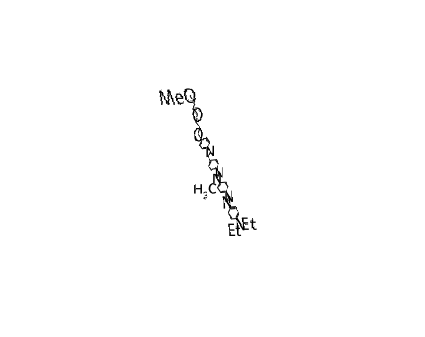 CCN(CC)c1ccc(N=Nc2ccc(N=Nc3ccc(C=Nc4ccc(OCCOCCOC)cc4)cc3)c(C)c2)cc1